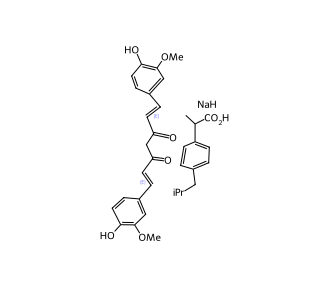 CC(C)Cc1ccc(C(C)C(=O)O)cc1.COc1cc(/C=C/C(=O)CC(=O)/C=C/c2ccc(O)c(OC)c2)ccc1O.[NaH]